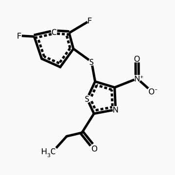 CCC(=O)c1nc([N+](=O)[O-])c(Sc2ccc(F)cc2F)s1